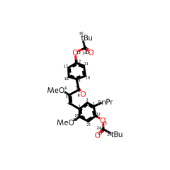 CCCc1cc(C=C(OC)C(=O)c2ccc(OC(=O)C(C)(C)C)cc2)c(OC)cc1OC(=O)C(C)(C)C